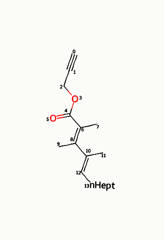 C#CCOC(=O)/C(C)=C(C)/C(C)=C/CCCCCCC